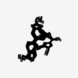 Cc1nc2cc(-c3ccc4c(cnn4C)c3)cc(OC(C)[C@H]3CNC(=O)C3)c2s1